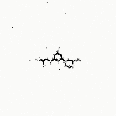 CC(O)COc1cc(I)cc(N2CCO[C@@H](C)C2)n1